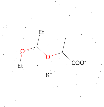 CCOC(CC)OC(C)C(=O)[O-].[K+]